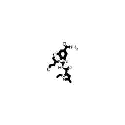 CCn1nc(C)cc1C(=O)Nc1nc2cc(C(N)=O)cc3c2n1C(CC=O)CO3